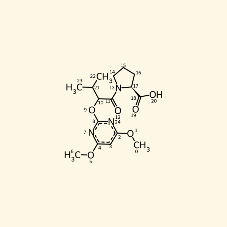 COc1cc(OC)nc(OC(C(=O)N2CCC[C@H]2C(=O)O)C(C)C)n1